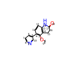 CCOc1c(-c2cccnc2)ccc2c1CCC(=O)N2